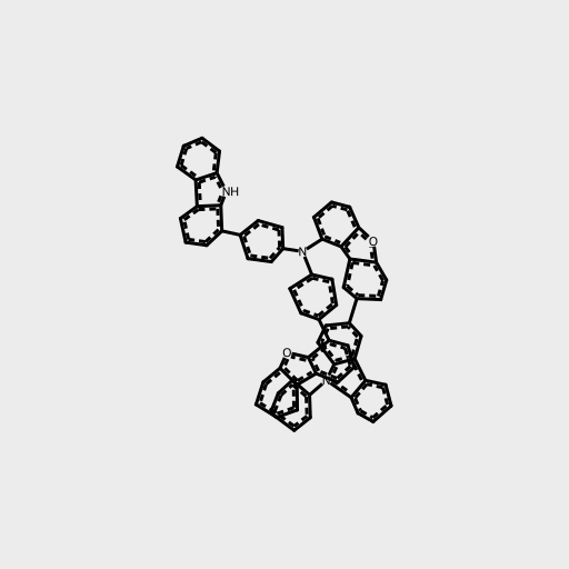 c1ccc(-n2c3ccccc3c3cc(-c4ccc5oc6cccc(N(c7ccc(-c8cccc9c8[nH]c8ccccc89)cc7)c7ccc(-c8cccc9c8oc8ccccc89)cc7)c6c5c4)ccc32)cc1